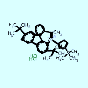 C/[C](c1ccccc1)=[Zr](\[C]1=CC([Si](C)(C)C)=CC1)[c]1c(C(C)(C)C)ccc2c1Cc1cc(C(C)(C)C)ccc1-2.Cl.Cl